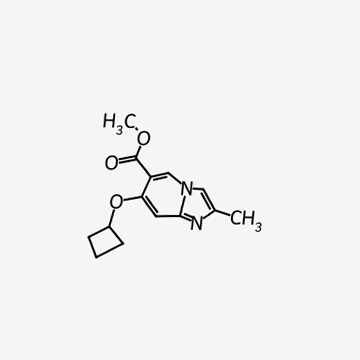 COC(=O)c1cn2cc(C)nc2cc1OC1CCC1